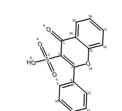 O=c1c(S(=O)(=O)O)c(-c2ccccc2)oc2ccccc12